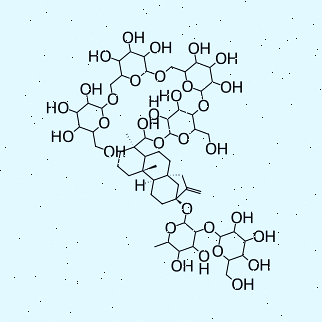 C=C1C[C@@]23CCC4[C@](C)(C(O)OC5OC(CO)C(OC6OC(COC7OC(COC8OC(CO)C(O)C(O)C8O)C(O)C(O)C7O)C(O)C(O)C6O)C(O)C5O)CCC[C@@]4(C)[C@@H]2CC[C@]1(OC1OC(C)C(O)C(O)C1OC1OC(CO)C(O)C(O)C1O)C3